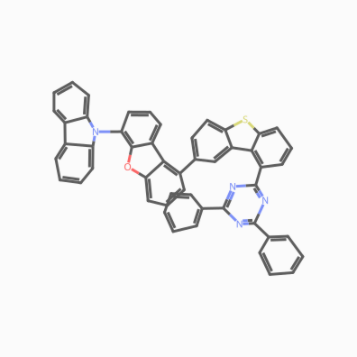 c1ccc(-c2nc(-c3ccccc3)nc(-c3cccc4sc5ccc(-c6cccc7oc8c(-n9c%10ccccc%10c%10ccccc%109)cccc8c67)cc5c34)n2)cc1